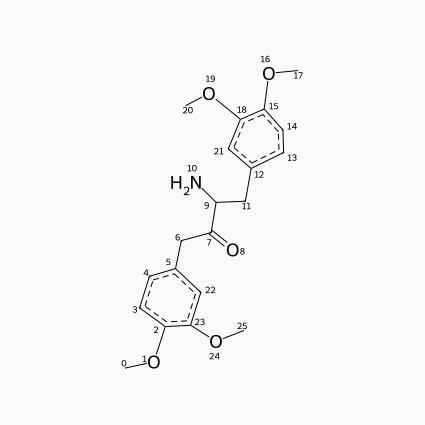 COc1ccc(CC(=O)C(N)Cc2ccc(OC)c(OC)c2)cc1OC